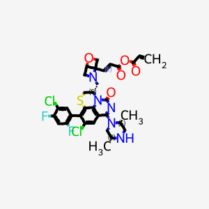 C=CC(=O)OC(=O)/C=C/C12COC1CN2C[C@H]1CSc2c(-c3cc(Cl)c(F)cc3F)c(Cl)cc3c(N4C[C@@H](C)NC[C@@H]4C)nc(=O)n1c23